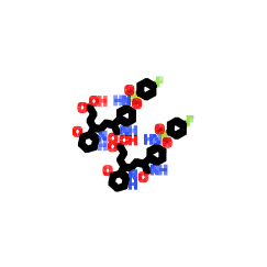 O=C(O)CCc1c(C=C2C(=O)Nc3ccc(NS(=O)(=O)c4ccc(F)cc4)cc32)[nH]c2c1C(=O)CCC2.O=C(O)CCc1c(C=C2C(=O)Nc3ccc(NS(=O)(=O)c4ccc(F)cc4)cc32)[nH]c2c1C(=O)CCC2